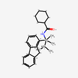 C[SiH](C)[Zr]([CH3])([CH3])([NH]C(=O)C1CCCCC1)[c]1cccc2c1Cc1ccccc1-2